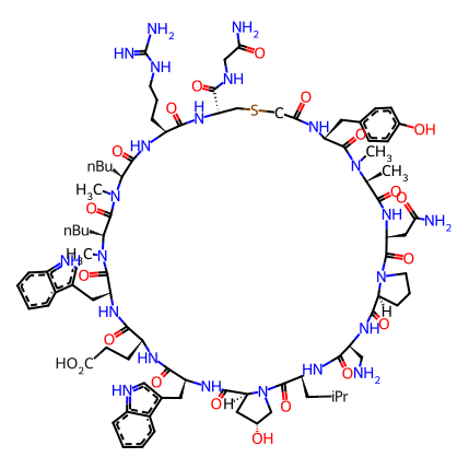 CCCC[C@H]1C(=O)N(C)[C@@H](CCCC)C(=O)N[C@@H](CCCNC(=N)N)C(=O)N[C@H](C(=O)NCC(N)=O)CSCC(=O)N[C@@H](Cc2ccc(O)cc2)C(=O)N(C)[C@@H](C)C(=O)N[C@@H](CC(N)=O)C(=O)N2CCC[C@H]2C(=O)N[C@@H](CN)C(=O)N[C@@H](CC(C)C)C(=O)N2C[C@H](O)C[C@H]2C(=O)N[C@@H](Cc2c[nH]c3ccccc23)C(=O)N[C@@H](CCC(=O)O)C(=O)N[C@@H](Cc2c[nH]c3ccccc23)C(=O)N1C